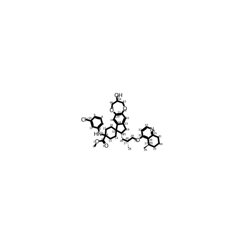 COC(=O)C1(Nc2cccc(Cl)c2)CCC2(CC1)c1cc3c(cc1C[C@@H]2C[C@@H](C)COc1ccnc2c1[C@H](C)CCC2)OCC(O)CO3